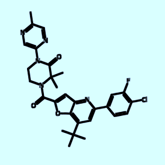 Cc1cnc(N2CCN(C(=O)c3cc4nc(-c5ccc(Cl)c(F)c5)cc(C(C)(C)C)c4o3)C(C)(C)C2=O)cn1